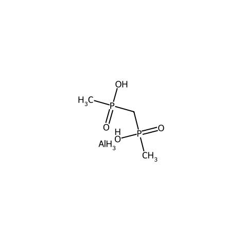 CP(=O)(O)CP(C)(=O)O.[AlH3]